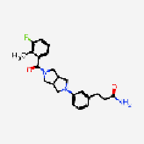 Cc1c(F)cccc1C(=O)N1CC2CN(c3cccc(CCC(N)=O)c3)CC2C1